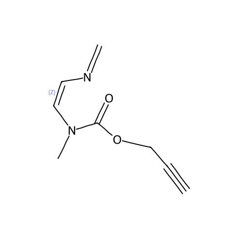 C#CCOC(=O)N(C)/C=C\N=C